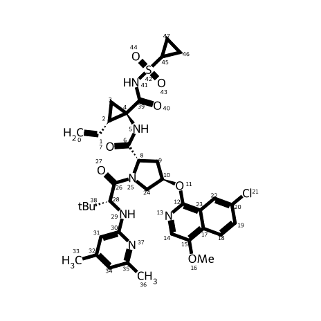 C=C[C@@H]1C[C@]1(NC(=O)[C@@H]1C[C@@H](Oc2ncc(OC)c3ccc(Cl)cc23)CN1C(=O)[C@H](Nc1cc(C)cc(C)n1)C(C)(C)C)C(=O)NS(=O)(=O)C1CC1